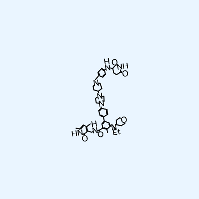 CCN(c1cc(-c2ccc(N3CCN(C4CCN(Cc5ccc(NC6CCC(=O)NC6=O)cc5)CC4)CC3)cc2)cc(C(=O)NCc2c(C)cc(C)[nH]c2=O)c1C)C1CCOCC1